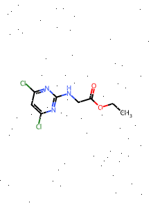 CCOC(=O)CNc1nc(Cl)cc(Cl)n1